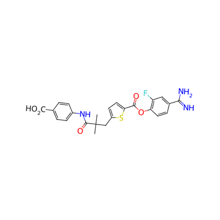 CC(C)(Cc1ccc(C(=O)Oc2ccc(C(=N)N)cc2F)s1)C(=O)Nc1ccc(C(=O)O)cc1